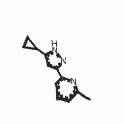 Cc1cccc(-c2cc(C3CC3)[nH]n2)n1